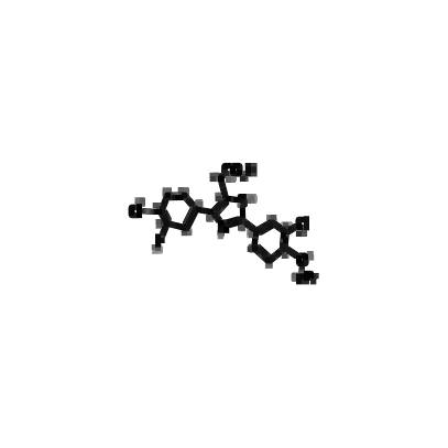 CCCOc1ccc(-c2nc(-c3ccc(Cl)c(F)c3)c(CC(=O)O)s2)cc1Cl